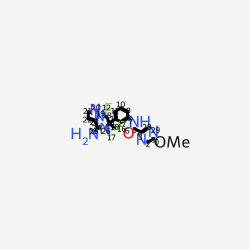 COc1cnc(C(=O)Nc2ccc(F)c(C3(C(F)F)Cn4nccc4C(N)=N3)c2)cn1